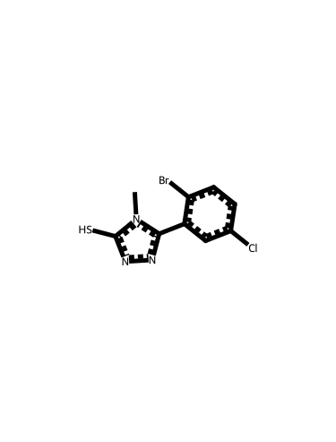 Cn1c(S)nnc1-c1cc(Cl)ccc1Br